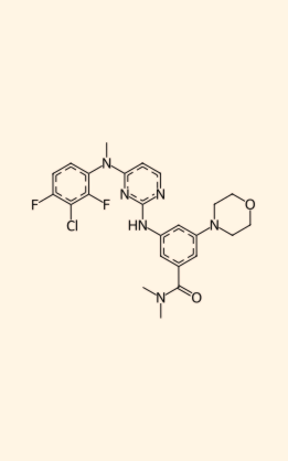 CN(C)C(=O)c1cc(Nc2nccc(N(C)c3ccc(F)c(Cl)c3F)n2)cc(N2CCOCC2)c1